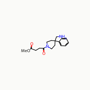 COC(=O)CCC(=O)N1CCC(CN)(c2ccccc2)CC1